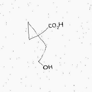 O=C(O)C1(CCO)CC1